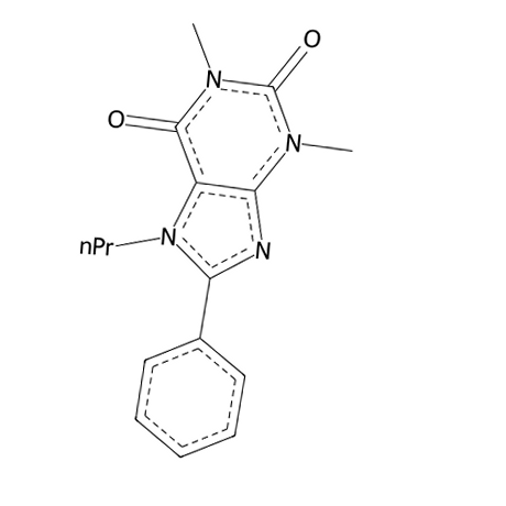 CCCn1c(-c2ccccc2)nc2c1c(=O)n(C)c(=O)n2C